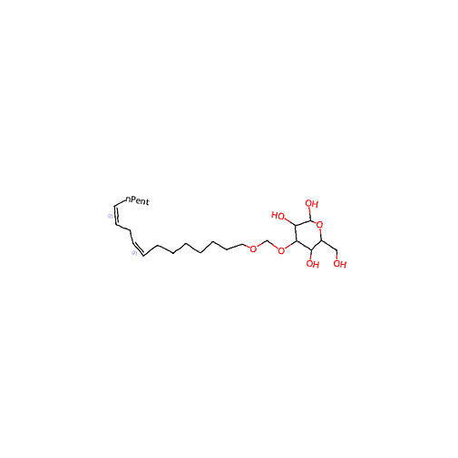 CCCCC/C=C\C/C=C\CCCCCCCOCOC1C(O)C(O)OC(CO)C1O